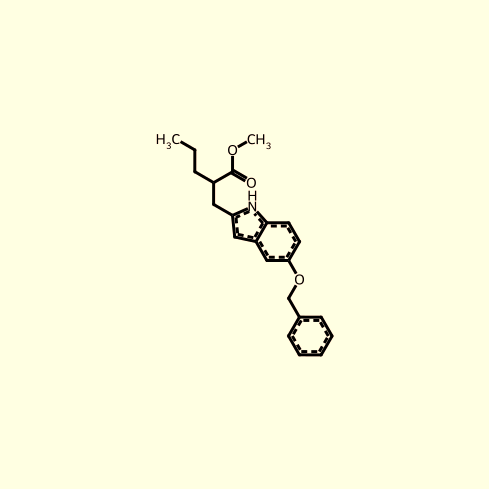 CCCC(Cc1cc2cc(OCc3ccccc3)ccc2[nH]1)C(=O)OC